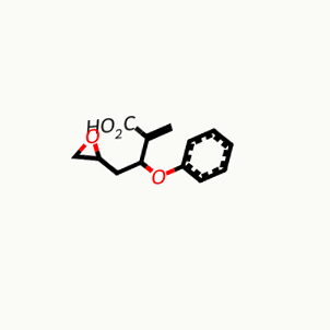 C=C(C(=O)O)C(CC1CO1)Oc1ccccc1